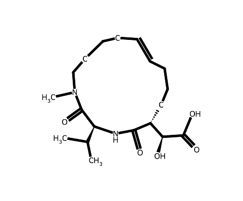 CC(C)[C@@H]1NC(=O)[C@@H]([C@H](O)C(=O)O)CCC/C=C/CCCCN(C)C1=O